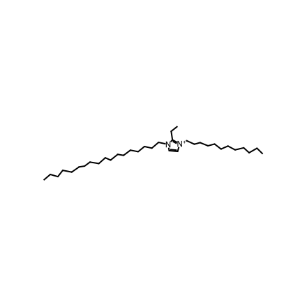 CCCCCCCCCCCCCCCCCCn1cc[n+](CCCCCCCCCCCC)c1CC